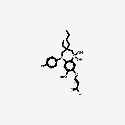 CCCCC1(CC)CN(c2ccc(F)cc2)c2cc(SC)c(O/C=C/C(=O)O)cc2S(O)(O)C1